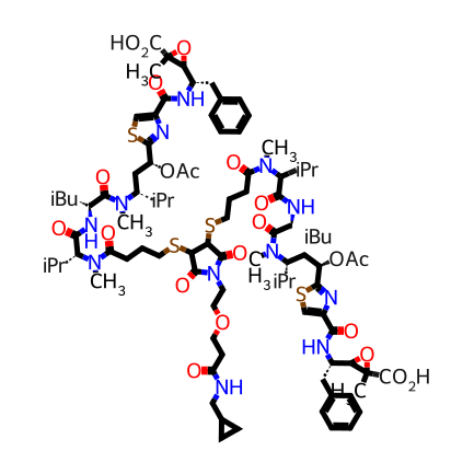 CC[C@H](C)[C@H](NC(=O)C(C(C)C)N(C)C(=O)CCCSC1C(=O)N(CCOCCC(=O)NCC2CC2)C(=O)C1SCCCC(=O)N(C)[C@@H](C(=O)N[C@H](C(=O)N(C)[C@H](C[C@@H](OC(C)=O)c1nc(C(=O)N[C@@H](Cc2ccccc2)C2OC2(C)C(=O)O)cs1)C(C)C)[C@@H](C)CC)C(C)C)C(=O)N(C)[C@H](C[C@@H](OC(C)=O)c1nc(C(=O)N[C@@H](Cc2ccccc2)C2OC2(C)C(=O)O)cs1)C(C)C